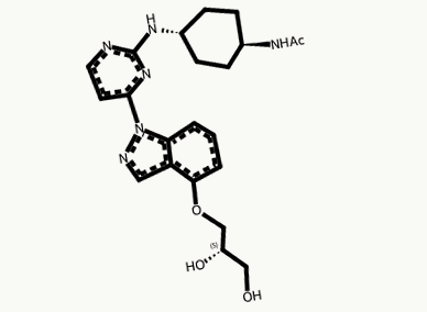 CC(=O)N[C@H]1CC[C@H](Nc2nccc(-n3ncc4c(OC[C@@H](O)CO)cccc43)n2)CC1